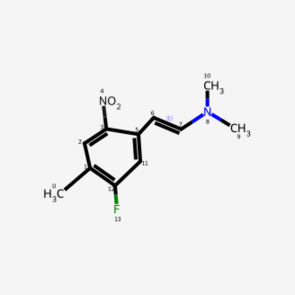 Cc1cc([N+](=O)[O-])c(/C=C/N(C)C)cc1F